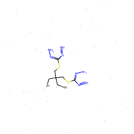 CC(C)CC(CSC(N=N)=NN)(CSC(N=N)=NN)CC(C)C